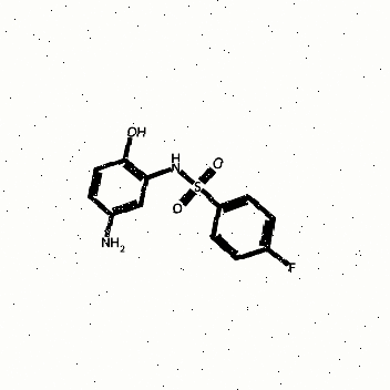 Nc1ccc(O)c(NS(=O)(=O)c2ccc(F)cc2)c1